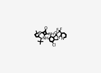 Cc1ccc([C@H](Nc2c(Nc3ccc(Cl)c4c3C(=O)N(c3ncccc3C(F)(F)F)C4)c(=O)c2=O)C(C)(C)C)o1